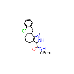 CCCCCNC(=O)C1NN(C)C2=C1CCCCC2Cc1ccccc1Cl